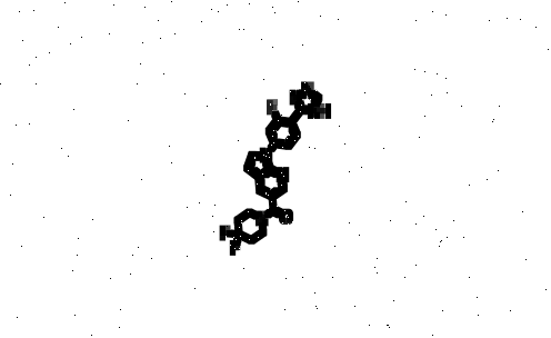 O=C(c1cnc2c(ccn2-c2ccc(-c3nnc[nH]3)c(F)c2)c1)N1CCC(F)(F)CC1